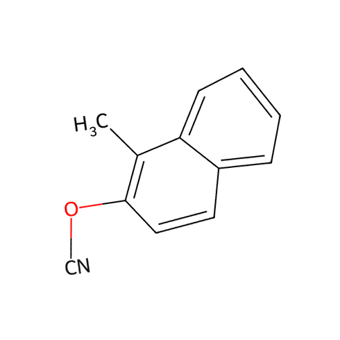 Cc1c(OC#N)ccc2ccccc12